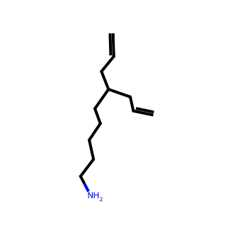 C=CCC(CC=C)CCCCCN